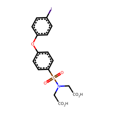 O=C(O)CN(CC(=O)O)S(=O)(=O)c1ccc(Oc2ccc(I)cc2)cc1